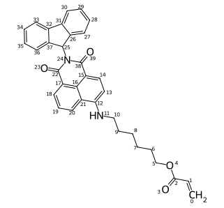 C=CC(=O)OCCCCCCNc1ccc2c3c(cccc13)C(=O)N(C1c3ccccc3-c3ccccc31)C2=O